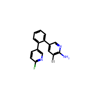 CCc1cc(-c2ccccc2-c2ccc(F)nc2)cnc1N